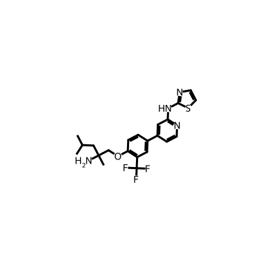 CC(C)CC(C)(N)COc1ccc(-c2ccnc(Nc3nccs3)c2)cc1C(F)(F)F